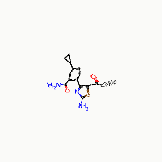 COC(=O)c1sc(N)nc1-c1ccc(C2CC2)cc1C(N)=O